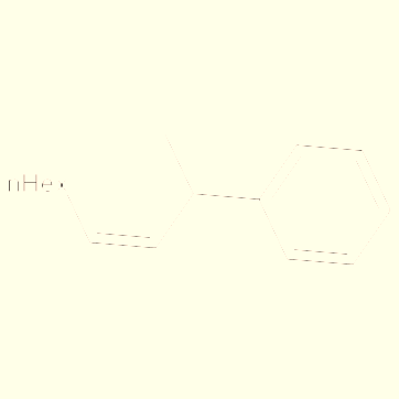 CCCCCC/C=C\C(C)c1ccccc1